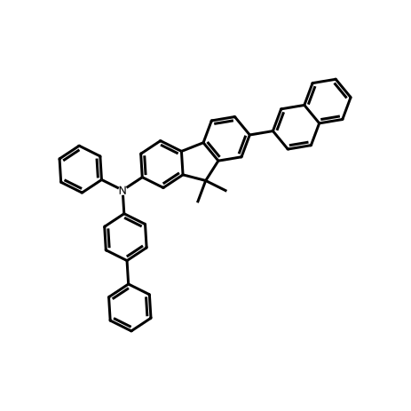 CC1(C)c2cc(-c3ccc4ccccc4c3)ccc2-c2ccc(N(c3ccccc3)c3ccc(-c4ccccc4)cc3)cc21